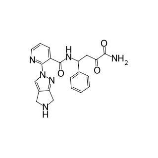 NC(=O)C(=O)CC(NC(=O)c1cccnc1-n1cc2c(n1)CNC2)c1ccccc1